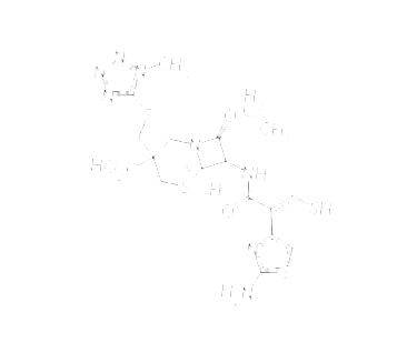 CC.Cn1nnnc1SCC1(C(=O)O)CS[C@@H]2C(NC(=O)C(=CS)c3csc(N)n3)C(=O)N2C1